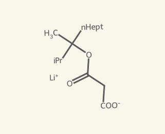 CCCCCCCC(C)(OC(=O)CC(=O)[O-])C(C)C.[Li+]